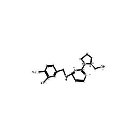 COc1ccc(CNc2ccnc(N3CCC[C@H]3CO)n2)cc1Cl